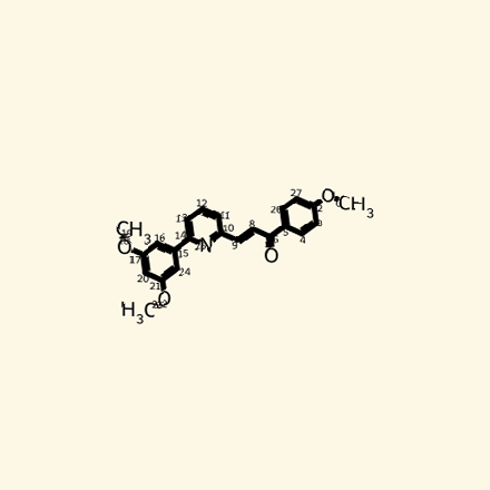 COc1ccc(C(=O)C=Cc2cccc(-c3cc(OC)cc(OC)c3)n2)cc1